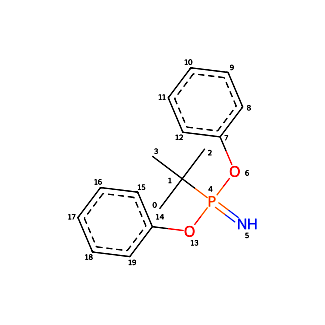 CC(C)(C)P(=N)(Oc1ccccc1)Oc1ccccc1